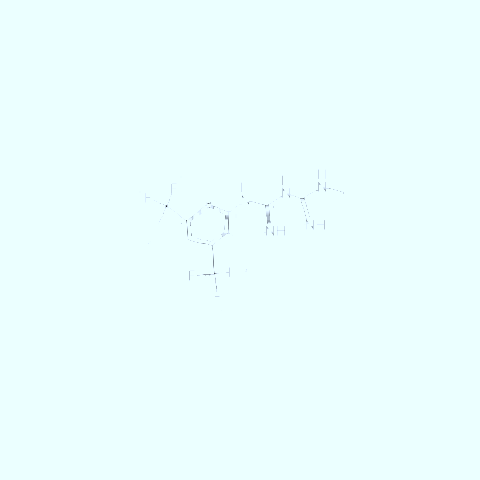 CNC(=N)NC(=N)Nc1cc(C(F)(F)F)cc(C(F)(F)F)c1